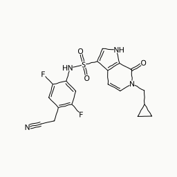 N#CCc1cc(F)c(NS(=O)(=O)c2c[nH]c3c(=O)n(CC4CC4)ccc23)cc1F